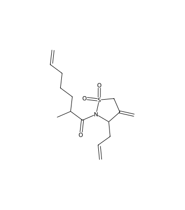 C=CCCCC(C)C(=O)N1C(CC=C)C(=C)CS1(=O)=O